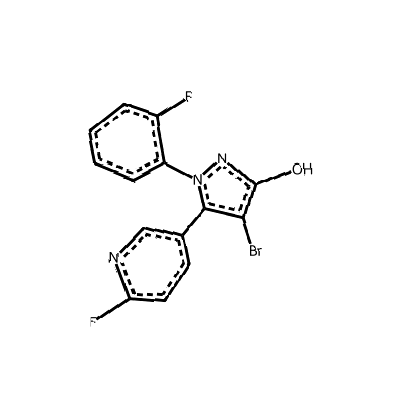 Oc1nn(-c2ccccc2F)c(-c2ccc(F)nc2)c1Br